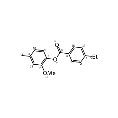 CCc1ccc(C(=O)Oc2ccc(C)cc2OC)cc1